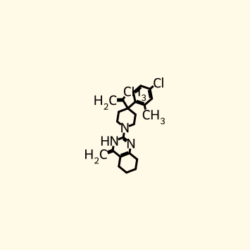 C=C1NC(N2CCC(C(=C)C)(c3ccc(Cl)cc3C)CC2)=NC2=C1CCCC2